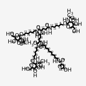 CC(=O)NC1C(OCCCCCCNC(=O)CCC(NC(=O)CCC(NC(=O)CCCCCCCCCNC(=O)[C@H]2C[C@@H](O)CO2)C(=O)NCCCCCCOC2OC(CO)C(O)C(O)C2NC(C)=O)C(=O)NCCCCCCOC2OC(CO)C(O)C(O)C2NC(C)=O)OCC(CO)C(O)C1O